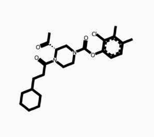 CC(=O)[C@@H]1CN(C(=O)Oc2ccc(C)c(C)c2Cl)CCN1C(=O)CCC1CCCCC1